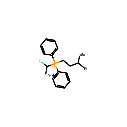 CCCCCC(F)[PH](CCC(CC)CCCC)(c1ccccc1)c1ccccc1